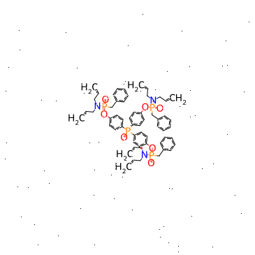 C=CCN(CC=C)P(=O)(Cc1ccccc1)Oc1ccc(P(=O)(c2ccc(OP(=O)(Cc3ccccc3)N(CC=C)CC=C)cc2)c2ccc(OP(=O)(Cc3ccccc3)N(CC=C)CC=C)cc2)cc1